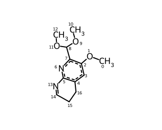 COc1cc2c(nc1C(OC)OC)N=CCC2